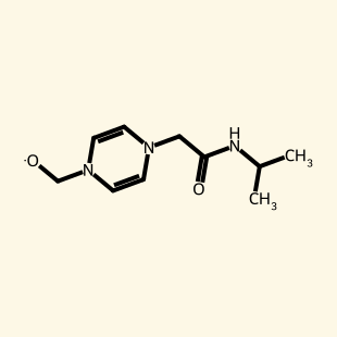 CC(C)NC(=O)CN1C=CN(C[O])C=C1